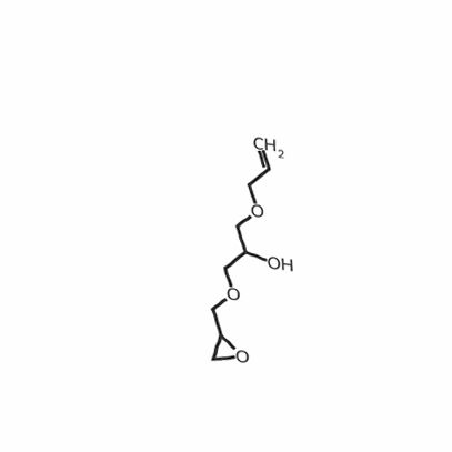 C=CCOCC(O)COCC1CO1